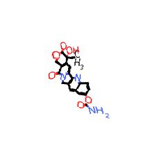 CC[C@@]1(O)C(=O)OCc2c1cc1n(c2=O)Cc2cc3cc(OC(N)=O)ccc3nc2-1